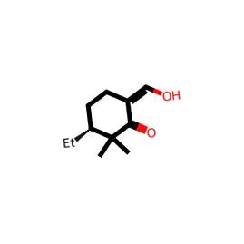 CC[C@H]1CC/C(=C/O)C(=O)C1(C)C